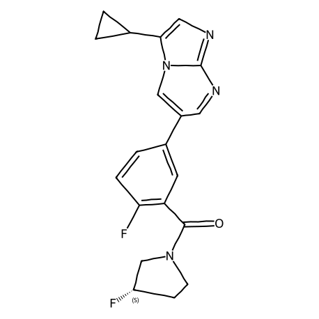 O=C(c1cc(-c2cnc3ncc(C4CC4)n3c2)ccc1F)N1CC[C@H](F)C1